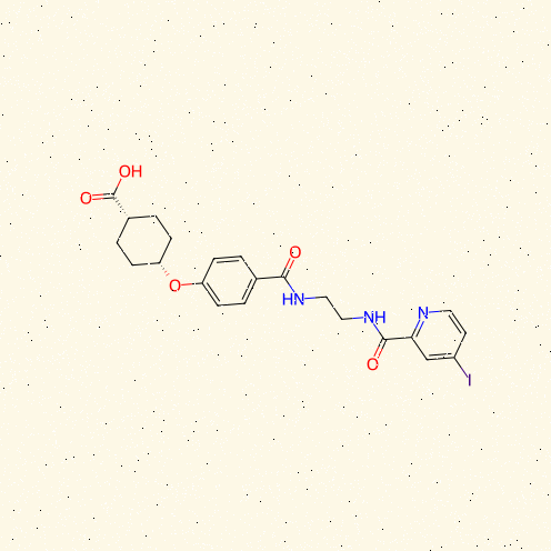 O=C(NCCNC(=O)c1cc(I)ccn1)c1ccc(O[C@H]2CC[C@@H](C(=O)O)CC2)cc1